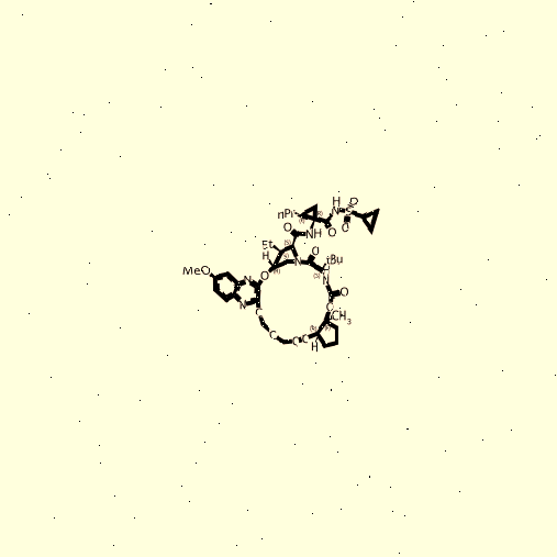 CCC[C@@H]1C[C@]1(NC(=O)[C@@H]1[C@H](CC)[C@@H]2CN1C(=O)[C@H](C(C)(C)C)NC(=O)O[C@]1(C)CCC[C@H]1CCCCCCc1nc3ccc(OC)cc3nc1O2)C(=O)NS(=O)(=O)C1CC1